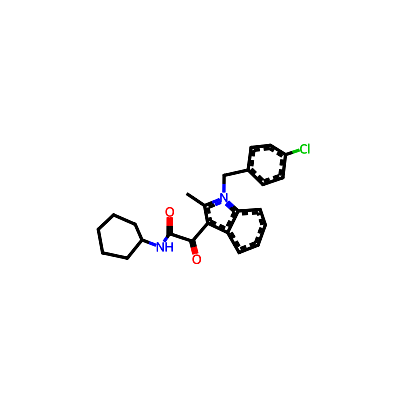 Cc1c(C(=O)C(=O)NC2CCCCC2)c2ccccc2n1Cc1ccc(Cl)cc1